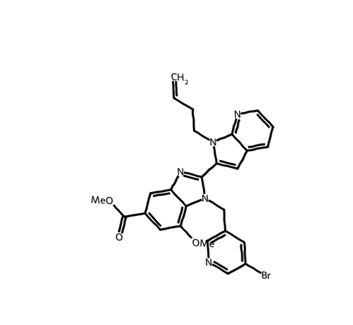 C=CCCn1c(-c2nc3cc(C(=O)OC)cc(OC)c3n2Cc2cncc(Br)c2)cc2cccnc21